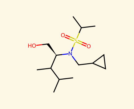 CC(C)C(C)[C@@H](CO)N(CC1CC1)S(=O)(=O)C(C)C